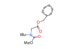 COC(=O)N(CC(=O)OCc1ccccc1)C(C)(C)C